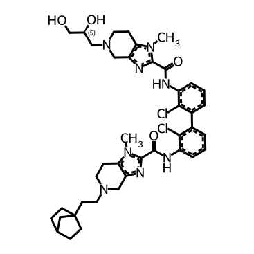 Cn1c(C(=O)Nc2cccc(-c3cccc(NC(=O)c4nc5c(n4C)CCN(C[C@H](O)CO)C5)c3Cl)c2Cl)nc2c1CCN(CCC13CCC(CC1)C3)C2